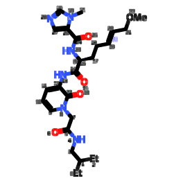 CCC(CC)CNC(=O)Cn1cccc(NC(=O)[C@H](CC/C=C/COC)NC(=O)c2cncn2C)c1=O